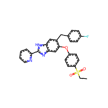 CCS(=O)(=O)c1ccc(Oc2cc3nc(-c4ccccn4)[nH]c3cc2Cc2ccc(F)cc2)cc1